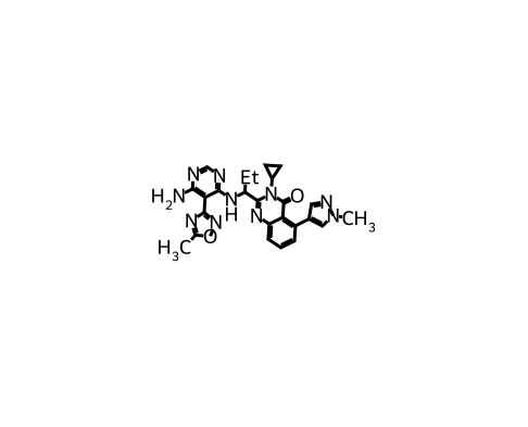 CCC(Nc1ncnc(N)c1-c1noc(C)n1)c1nc2cccc(-c3cnn(C)c3)c2c(=O)n1C1CC1